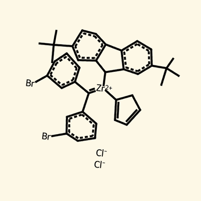 CC(C)(C)c1ccc2c(c1)[CH]([Zr+2]([C]1=CC=CC1)=[C](c1cccc(Br)c1)c1cccc(Br)c1)c1cc(C(C)(C)C)ccc1-2.[Cl-].[Cl-]